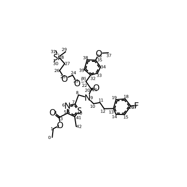 CCOC(=O)c1nc(CN(CCCc2ccc(F)cc2)C(=O)[C@H](OCOCC[Si](C)(C)C)c2ccc(OC)cc2)sc1C